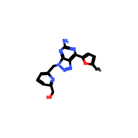 Cc1ccc(-c2nc(N)nc3c2nnn3Cc2cccc(CO)n2)o1